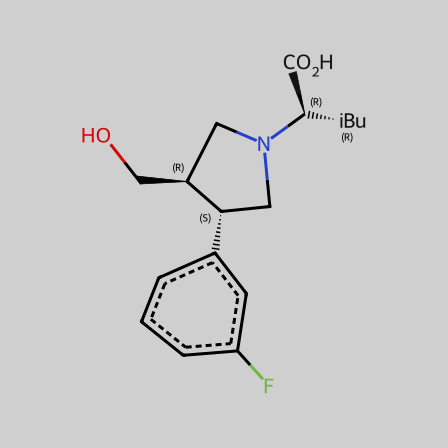 CC[C@@H](C)[C@H](C(=O)O)N1C[C@H](CO)[C@@H](c2cccc(F)c2)C1